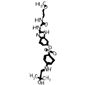 COCCNC(=O)Nc1nc2ccc(OS(=O)(=O)c3ccc(NCC(C)(C)O)cc3)cc2[nH]1